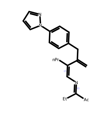 C=C(Cc1ccc(-n2cccn2)cc1)/C(=C\N=C(/CC)C(C)=O)CCC